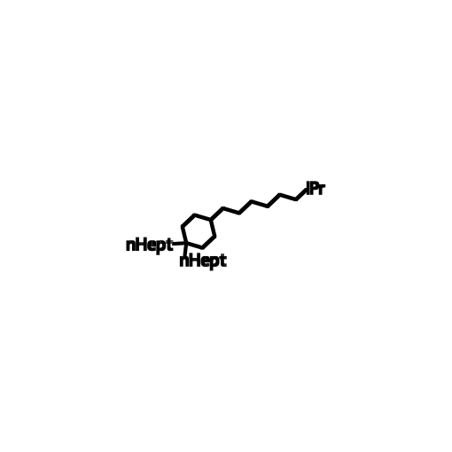 CCCCCCCC1(CCCCCCC)CCC(CCCCCCC(C)C)CC1